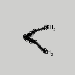 C=CC(=O)OCCCCCCCCCCCCOc1ccc(C(=O)Oc2ccc(C(=O)OC3OCCOC3OC(=O)c3ccc(OC(=O)c4ccc(OCCCCCCCCCCCCOC(=O)C=C)cc4)cc3)cc2)cc1